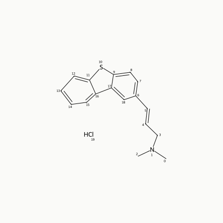 CN(C)CC=Cc1ccc2sc3ccccc3c2c1.Cl